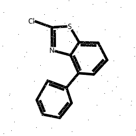 Clc1nc2c(-c3ccccc3)cccc2s1